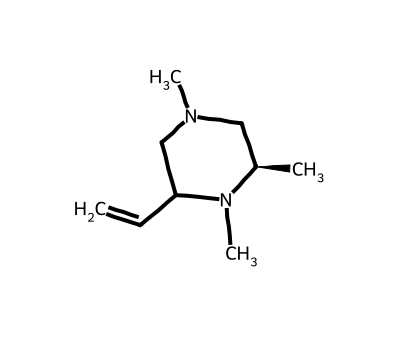 C=CC1CN(C)C[C@@H](C)N1C